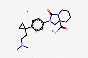 CN(C)CCC1(c2ccc(N3C[C@@]4(C(N)=O)[CH]CCCN4C3=O)cc2)CC1